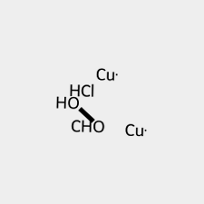 Cl.O=CO.[Cu].[Cu]